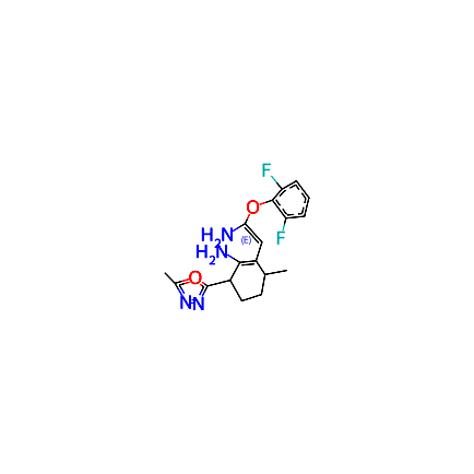 Cc1nnc(C2CCC(C)C(/C=C(\N)Oc3c(F)cccc3F)=C2N)o1